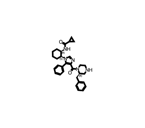 O=C(N[C@@H]1CCCC[C@@H]1n1cnc(C(=O)N2CCNC[C@H]2Cc2ccccc2)c1-c1ccccc1)C1CC1